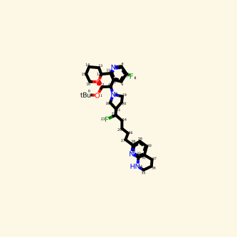 CC(C)(C)OC(=O)C(c1cc(F)cnc1C1CCCCO1)N1CCC(C(F)CCCCc2ccc3c(n2)NCCC3)C1